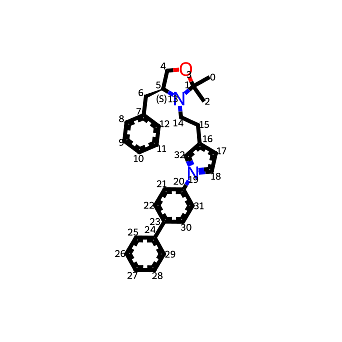 CC1(C)OC[C@H](Cc2ccccc2)N1CCc1ccn(-c2ccc(-c3ccccc3)cc2)c1